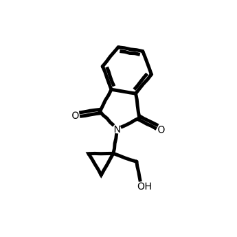 O=C1c2ccccc2C(=O)N1C1(CO)CC1